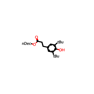 CCCCCCCCCCOC(=O)CCc1cc(C(C)(C)C)c(O)c(C(C)(C)C)c1